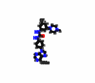 CNc1ncnc2c1ncn2-c1ccc(NC(=O)Nc2cc(N3CCN(C)CC3)cc(C(F)(F)F)c2)cc1